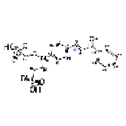 O=C(/C=C/c1ccc(N(CCS(=O)(=O)O)CCS(=O)(=O)O)cc1)c1ccccc1